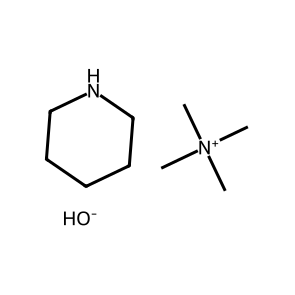 C1CCNCC1.C[N+](C)(C)C.[OH-]